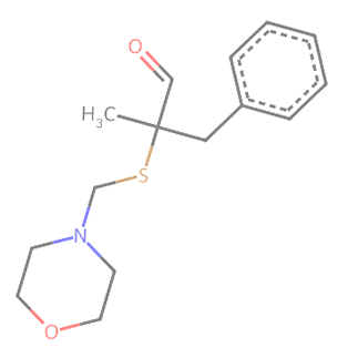 CC(C=O)(Cc1ccccc1)SCN1CCOCC1